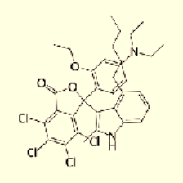 CCCCCc1cccc2[nH]c(C)c(C3(c4ccc(N(CC)CC)cc4OCC)OC(=O)c4c(Cl)c(Cl)c(Cl)c(Cl)c43)c12